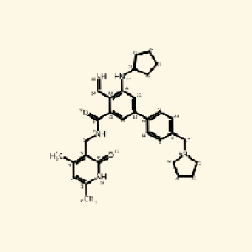 Cc1cc(C)c(CNC(=O)c2cc(-c3ccc(CN4CCCC4)cc3)cc(NC3CCCC3)c2C=N)c(=O)[nH]1